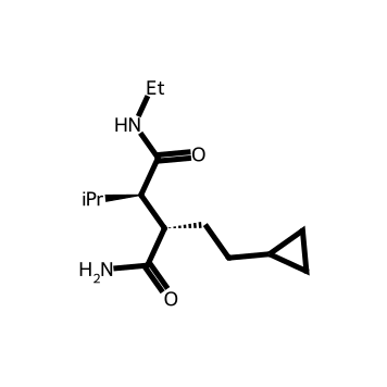 CCNC(=O)[C@H](C(C)C)[C@H](CCC1CC1)C(N)=O